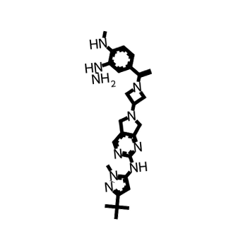 C=C(c1ccc(NC)c(NN)c1)N1CC(N2Cc3cnc(Nc4cc(C(C)(C)C)nn4C)nc3C2)C1